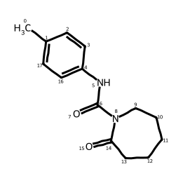 Cc1ccc(NC(=O)N2CCCCCC2=O)cc1